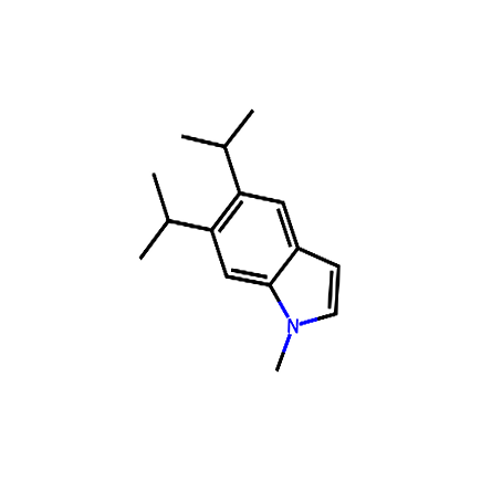 CC(C)c1cc2ccn(C)c2cc1C(C)C